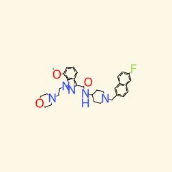 COc1cccc2c(C(=O)NC3CCN(Cc4ccc5cc(F)ccc5c4)CC3)nn(CCN3CCOCC3)c12